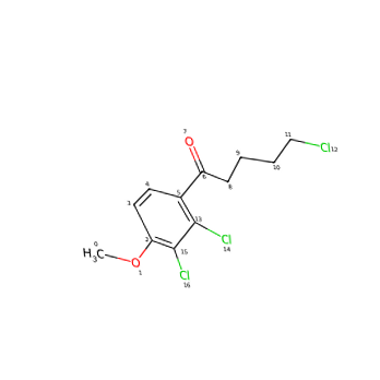 COc1ccc(C(=O)CCCCCl)c(Cl)c1Cl